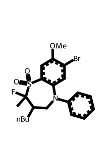 CCCCC1CN(c2ccccc2)c2cc(Br)c(OC)cc2S(=O)(=O)C1(C)F